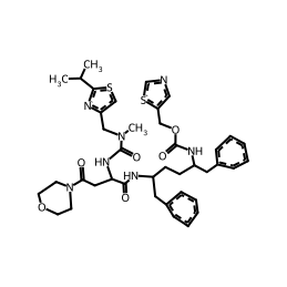 CC(C)c1nc(CN(C)C(=O)NC(CC(=O)N2CCOCC2)C(=O)NC(CCC(Cc2ccccc2)NC(=O)OCc2cncs2)Cc2ccccc2)cs1